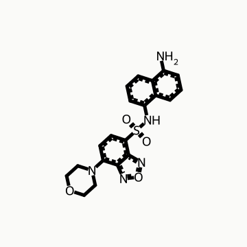 Nc1cccc2c(NS(=O)(=O)c3ccc(N4CCOCC4)c4nonc34)cccc12